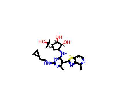 Cc1nc(NCCC2CC2)nc(NC2C[C@H](C(C)(C)O)[C@@H](O)[C@H]2O)c1-c1nc2c(C)nccc2s1